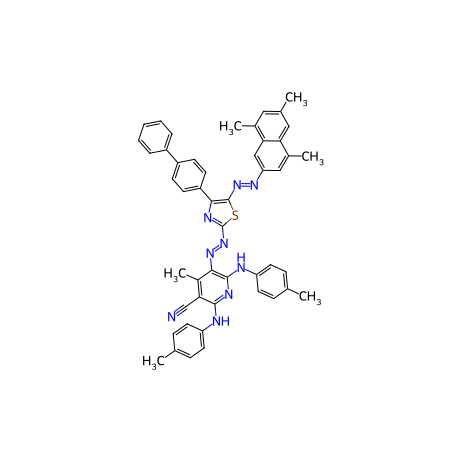 Cc1ccc(Nc2nc(Nc3ccc(C)cc3)c(N=Nc3nc(-c4ccc(-c5ccccc5)cc4)c(N=Nc4cc(C)c5cc(C)cc(C)c5c4)s3)c(C)c2C#N)cc1